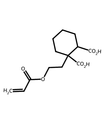 C=CC(=O)OCCC1(C(=O)O)CCCCC1C(=O)O